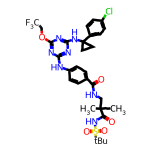 CC(C)(CNC(=O)c1ccc(Nc2nc(NC3(c4ccc(Cl)cc4)CC3)nc(OCC(F)(F)F)n2)cc1)C(=O)NS(=O)(=O)C(C)(C)C